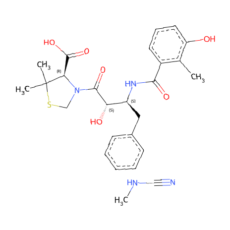 CNC#N.Cc1c(O)cccc1C(=O)N[C@@H](Cc1ccccc1)[C@H](O)C(=O)N1CSC(C)(C)[C@H]1C(=O)O